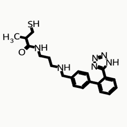 CC(CS)C(=O)NCCCNCc1ccc(-c2ccccc2-c2nnn[nH]2)cc1